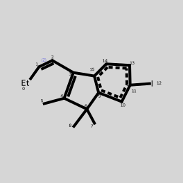 CC/C=C\C1=C(C)C(C)(C)c2cc(I)ccc21